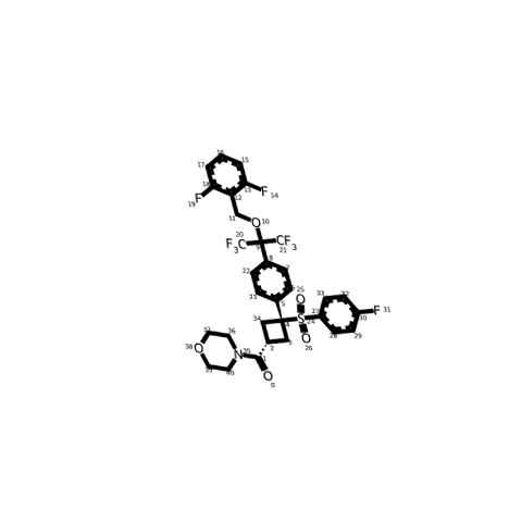 O=C([C@H]1C[C@@](c2ccc(C(OCc3c(F)cccc3F)(C(F)(F)F)C(F)(F)F)cc2)(S(=O)(=O)c2ccc(F)cc2)C1)N1CCOCC1